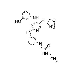 C1CN2CC2O1.CCNC(=O)C=Nc1cccc(Nc2ncc(F)c(Nc3cccc(O)c3)n2)c1